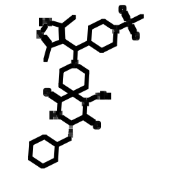 CCCCN1C(=O)[C@H](CC2CCCCC2)NC(=O)C12CCN(C(c1c(C)n[nH]c1C)C1CCN(S(C)(=O)=O)CC1)CC2